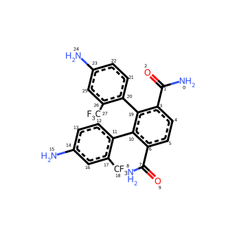 NC(=O)c1ccc(C(N)=O)c(-c2ccc(N)cc2C(F)(F)F)c1-c1ccc(N)cc1C(F)(F)F